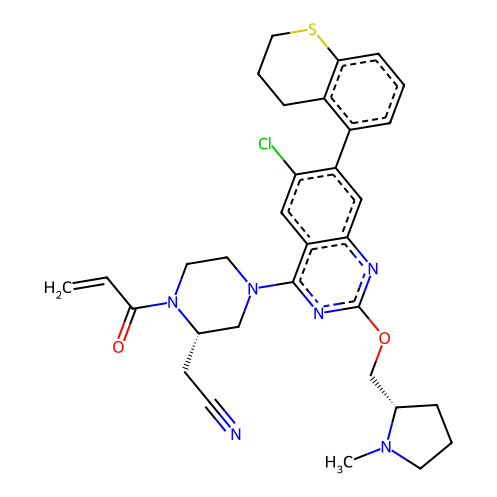 C=CC(=O)N1CCN(c2nc(OC[C@@H]3CCCN3C)nc3cc(-c4cccc5c4CCCS5)c(Cl)cc23)C[C@@H]1CC#N